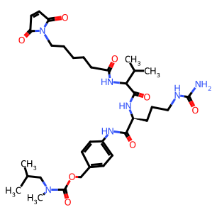 CC(C)CN(C)C(=O)OCc1ccc(NC(=O)[C@H](CCCNC(N)=O)NC(=O)C(NC(=O)CCCCCN2C(=O)C=CC2=O)C(C)C)cc1